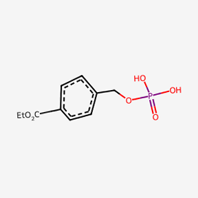 CCOC(=O)c1ccc(COP(=O)(O)O)cc1